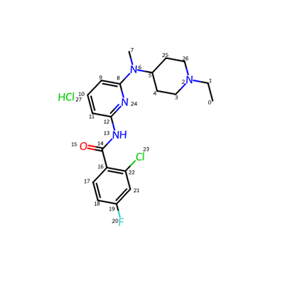 CCN1CCC(N(C)c2cccc(NC(=O)c3ccc(F)cc3Cl)n2)CC1.Cl